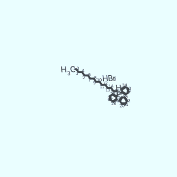 Br.CCCCCCCCCCCCCCCC[PH](c1ccccc1)(c1ccccc1)c1ccccc1